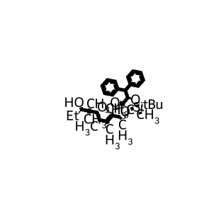 CC[C@H](O)C(C)(C)C(=O)[C@H](C)/C(C)=C(\C)[C@H](C)OC(=O)[C@H](O[Si](C)(C)C(C)(C)C)C(c1ccccc1)c1ccccc1